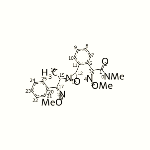 CNC(=O)C(=NOC)c1ccccc1C1ON1C(C)C(=NOC)c1ccccc1